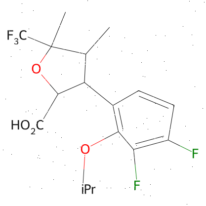 CC(C)Oc1c(C2C(C(=O)O)OC(C)(C(F)(F)F)C2C)ccc(F)c1F